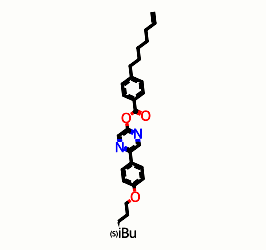 C=CCCCCCc1ccc(C(=O)Oc2cnc(-c3ccc(OCCC[C@@H](C)CC)cc3)cn2)cc1